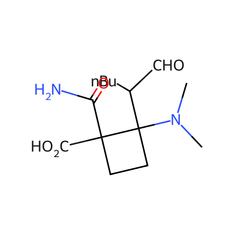 CCCCC(C=O)C1(N(C)C)CCC1(C(N)=O)C(=O)O